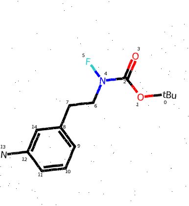 CC(C)(C)OC(=O)N(F)CCc1cccc([N+](=O)[O-])c1